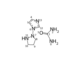 NC(N)=O.c1cn(N2CCCN2)cn1